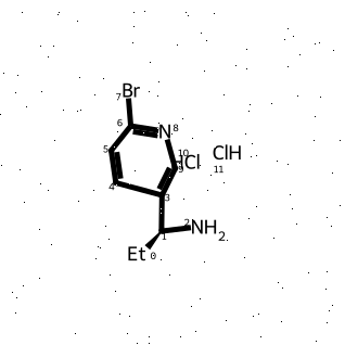 CC[C@H](N)c1ccc(Br)nc1.Cl.Cl